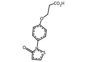 O=C(O)CCOc1ccc(-n2sccc2=O)cc1